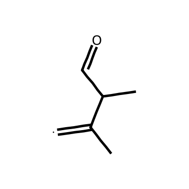 [CH]=C(C)C(C)C=O